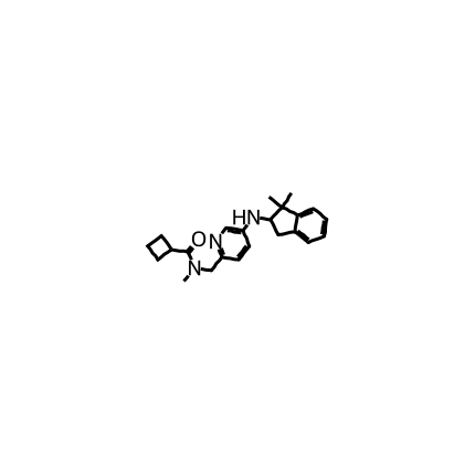 CN(Cc1ccc(NC2Cc3ccccc3C2(C)C)cn1)C(=O)C1CCC1